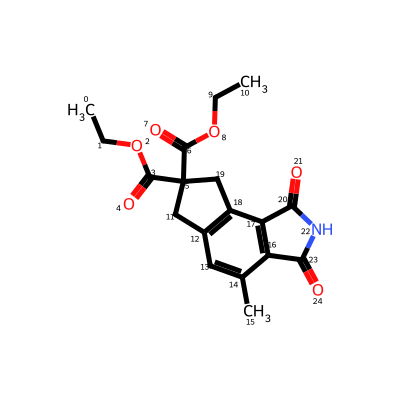 CCOC(=O)C1(C(=O)OCC)Cc2cc(C)c3c(c2C1)C(=O)NC3=O